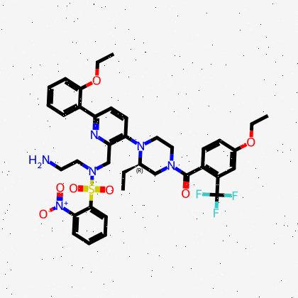 CCOc1ccc(C(=O)N2CCN(c3ccc(-c4ccccc4OCC)nc3CN(CCN)S(=O)(=O)c3ccccc3[N+](=O)[O-])[C@H](CC)C2)c(C(F)(F)F)c1